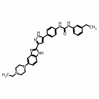 CCc1cccc(NC(=O)Nc2ccc(-c3cc(-c4nc5cc(N6CCN(CC)CC6)ccc5[nH]4)n[nH]3)cc2)c1